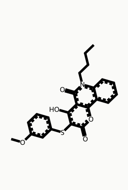 CCCCn1c(=O)c2c(O)c(Sc3cccc(OC)c3)c(=O)oc2c2ccccc21